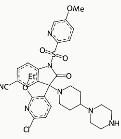 CCOc1nc(Cl)ccc1C1(N2CCC(N3CCNCC3)CC2)C(=O)N(S(=O)(=O)c2ccc(OC)cn2)c2ccc(C#N)cc21